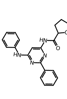 O=C(Nc1cc(Nc2ccccc2)nc(-c2ccccc2)n1)C1CCCO1